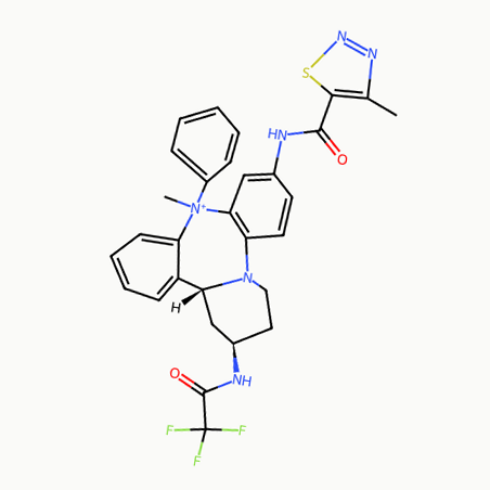 Cc1nnsc1C(=O)Nc1ccc2c(c1)[N+](C)(c1ccccc1)c1ccccc1[C@H]1C[C@H](NC(=O)C(F)(F)F)CCN21